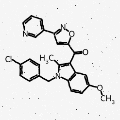 COc1ccc2c(c1)c(C(=O)c1cc(-c3cccnc3)no1)c(C)n2Cc1ccc(Cl)cc1